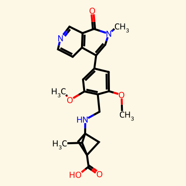 COc1cc(-c2cn(C)c(=O)c3cnccc23)cc(OC)c1CNC12CC(C(=O)O)(C1)C2C